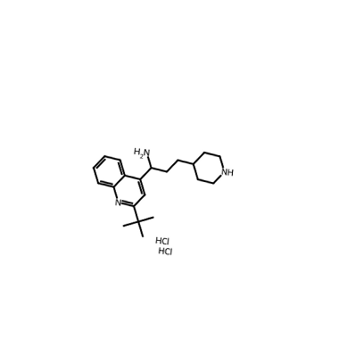 CC(C)(C)c1cc(C(N)CCC2CCNCC2)c2ccccc2n1.Cl.Cl